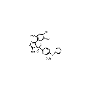 COc1cc(S(=O)(=O)n2c(O)nnc2-c2cc(C(C)C)c(O)cc2O)ccc1OC1CCCC1